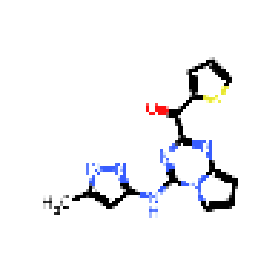 Cc1cc(Nc2nc(C(=O)c3cccs3)nc3cccn23)n[nH]1